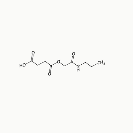 CCCNC(=O)COC(=O)CCC(=O)O